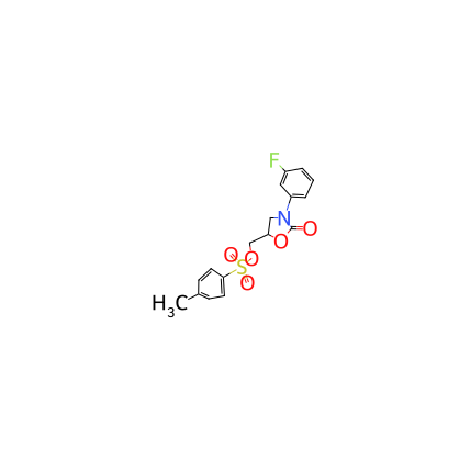 Cc1ccc(S(=O)(=O)OCC2CN(c3cccc(F)c3)C(=O)O2)cc1